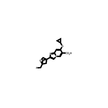 O=C(O)c1cn2cc(C34COC(CF)(C3)C4)nc2cc1OC1CC1